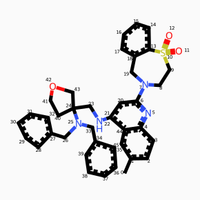 Cc1ccc2nc(N3CCS(=O)(=O)c4ccccc4C3)cc(NCC3(N(Cc4ccccc4)Cc4ccccc4)CCOC3)c2c1